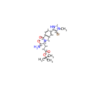 CN1CNC(c2ccc3c(c2)CN(C(CCC(=O)OC(C)(C)C)C(N)=O)C3=O)=C1Br